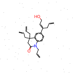 C=CCC(=CCO)c1ccc2c(c1)C(CC=C)(CC=C)CC(=O)N2CC=C